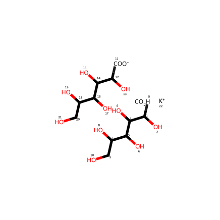 O=C(O)C(O)C(O)C(O)C(O)CO.O=C([O-])C(O)C(O)C(O)C(O)CO.[K+]